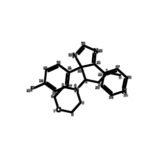 CCCC(N1CCOCC1)C1(c2ccc(F)cc2)N=CN=C1c1ccncc1